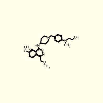 COCc1nnc(NC2CCN(Cc3ccc(N(C)CCO)cc3)CC2)c2cc(OC)ccc12